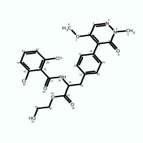 COc1cnn(C)c(=O)c1-c1ccc(CC(NC(=O)c2c(Cl)cccc2Cl)C(=O)OCCO)cc1